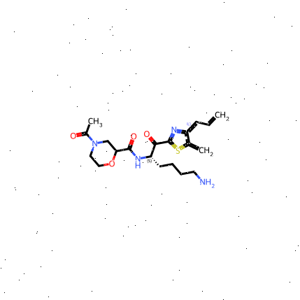 C=C/C=c1/nc(C(=O)[C@H](CCCCN)NC(=O)C2CN(C(C)=O)CCO2)sc1=C